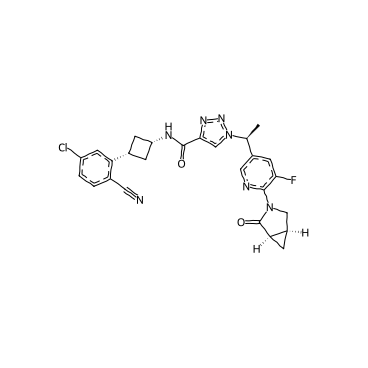 C[C@@H](c1cnc(N2C[C@H]3C[C@H]3C2=O)c(F)c1)n1cc(C(=O)N[C@H]2C[C@@H](c3cc(Cl)ccc3C#N)C2)nn1